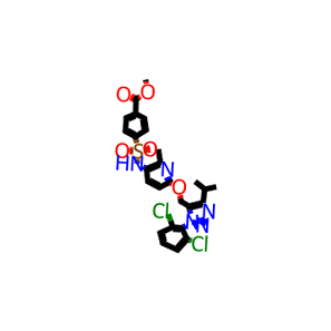 COC(=O)c1ccc(S(=O)(=O)Nc2ccc(OCc3c(C(C)C)nnn3-c3c(Cl)cccc3Cl)nc2C)cc1